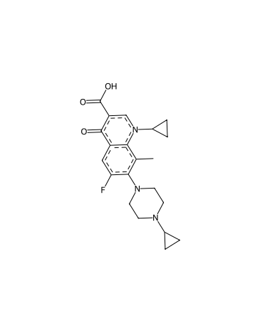 Cc1c(N2CCN(C3CC3)CC2)c(F)cc2c(=O)c(C(=O)O)cn(C3CC3)c12